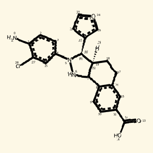 Nc1ccc(N2NC3c4ccc(C(=O)O)cc4CC[C@@H]3[C@@H]2c2ccoc2)cc1Cl